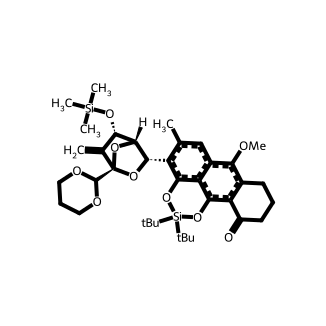 C=C1[C@H](O[Si](C)(C)C)[C@H]2O[C@]1(C1OCCCO1)O[C@H]2c1c(C)cc2c(OC)c3c(c4c2c1O[Si](C(C)(C)C)(C(C)(C)C)O4)C(=O)CCC3